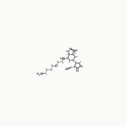 N#Cc1[nH]ncc1-c1cc(NCCOCCCCN)c2cn[nH]c2c1